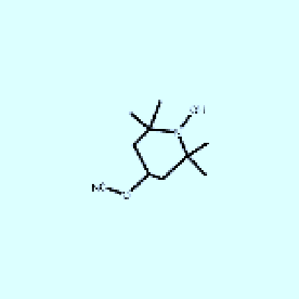 CC1(C)CC(OC#N)CC(C)(C)N1O